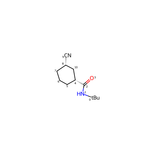 CC(C)(C)NC(=O)[C@@H]1CCC[C@H](C#N)C1